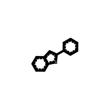 [c]1cccc2cc(-c3ccccc3)oc12